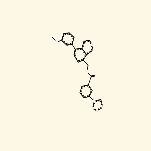 COc1cccc(-c2ccc(CNC(=O)c3cccc(-n4cnnn4)c3)c3cnccc23)c1